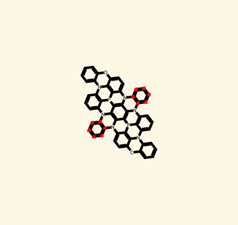 c1ccc(-n2c3cccc4c3p3c5c2c2c6c(c5n(-c5ccccc5)c5ccc7oc8ccccc8n4c7c53)n(-c3ccccc3)c3cccc4c3p6c3c(ccc5oc6ccccc6n4c53)n2-c2ccccc2)cc1